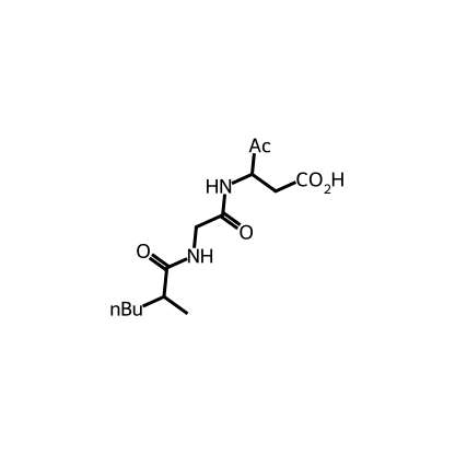 CCCCC(C)C(=O)NCC(=O)NC(CC(=O)O)C(C)=O